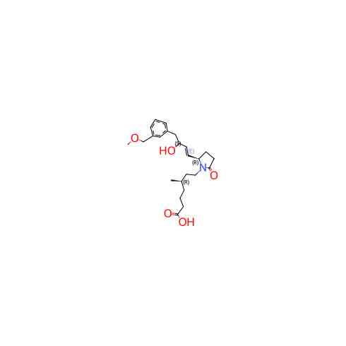 COCc1cccc(C[C@H](O)/C=C/[C@H]2CCC(=O)N2CC[C@H](C)CCCC(=O)O)c1